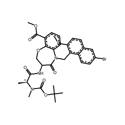 COC(=O)c1cccc2c1OCC(NC(=O)[C@H](C)N(C)C(=O)OC(C)(C)C)C(=O)N2Cc1c(OC)ccc2cc(Br)ccc12